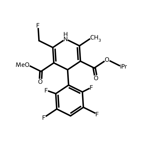 COC(=O)C1=C(CF)NC(C)=C(C(=O)OC(C)C)C1c1c(F)c(F)cc(F)c1F